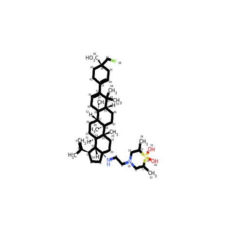 C=C(C)[C@@H]1CC[C@]2(NCCN3CC(C)S(O)(O)C(C)C3)CC[C@]3(C)[C@H](CC[C@@H]4[C@@]5(C)CC=C(C6=CC[C@](CF)(C(=O)O)CC6)C(C)(C)[C@@H]5CC[C@]43C)[C@@H]12